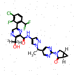 [2H]C([2H])(O)c1ncc(-c2c(C(F)F)ccc(Cl)c2F)nc1C(=O)Nc1cnn([C@@H](C)c2cnc(N3C[C@H]4C[C@H]4C3=O)nc2)c1